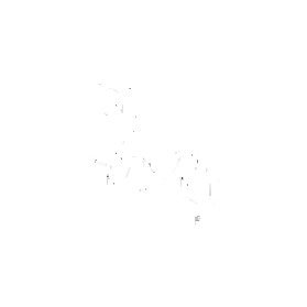 CC(=O)N1CCC(n2c(=O)[nH]c3ccc(-c4cnc5ccc(F)cn45)nc32)CC1